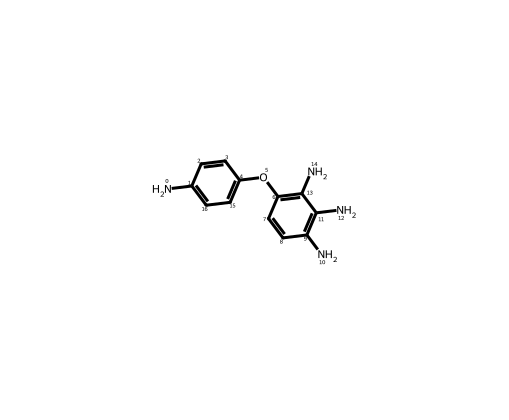 Nc1ccc(Oc2ccc(N)c(N)c2N)cc1